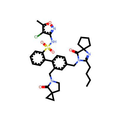 CCCCC1=NC2(CCCC2)C(=O)N1Cc1ccc(-c2ccccc2S(=O)(=O)Nc2noc(C)c2Cl)c(CN2CCC3(CC3)C2=O)c1